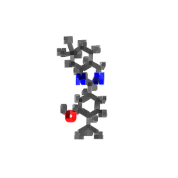 COc1cc(-c2ncc3c(n2)CC(C)(C)CC3)ccc1C(C)C